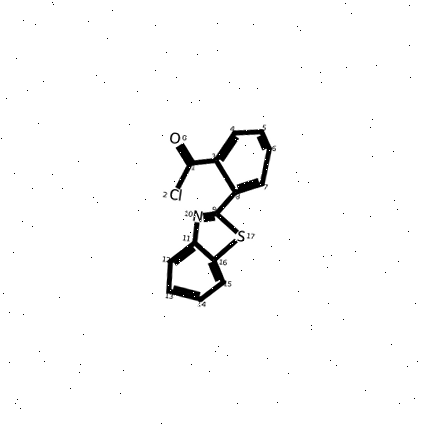 O=C(Cl)c1ccccc1-c1nc2ccccc2s1